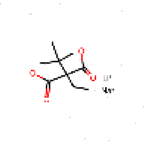 CCC(C(=O)[O-])(C(=O)[O-])C(C)(C)C.[Li+].[Na+]